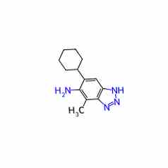 Cc1c(N)c(C2CCCCC2)cc2[nH]nnc12